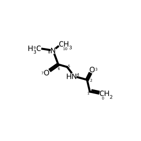 C=CC(=O)NCC(=O)N(C)C